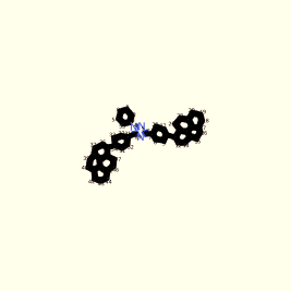 c1ccc(-n2nc(-c3ccc(-c4ccc5ccc6cccc7ccc4c5c67)cc3)nc2-c2ccc(-c3ccc4ccc5cccc6ccc3c4c56)cc2)cc1